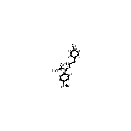 CC(C)(C)c1ccc(N(C/C=C/c2ccc(Cl)cc2)C(=N)N)cc1